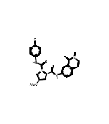 CO[C@@H]1C[C@H](C(=O)Nc2ccc3c(c2)C(C)N(C)CC3)N(C(=O)Nc2ccc(Cl)cc2)C1